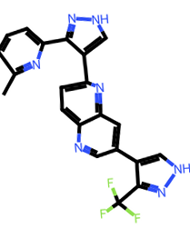 Cc1cccc(-c2n[nH]cc2-c2ccc3ncc(-c4c[nH]nc4C(F)(F)F)cc3n2)n1